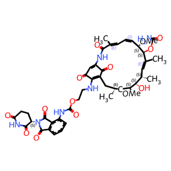 CO[C@H]1/C=C\C=C(/C)C(=O)NC2=CC(=O)C(NCCOC(=O)Nc3cccc4c3C(=O)N([C@H]3CCC(=O)NC3=O)C4=O)=C(C[C@@H](C)C[C@H](OC)[C@@H](O)[C@@H](C)/C=C(\C)[C@@H]1OC(N)=O)C2=O